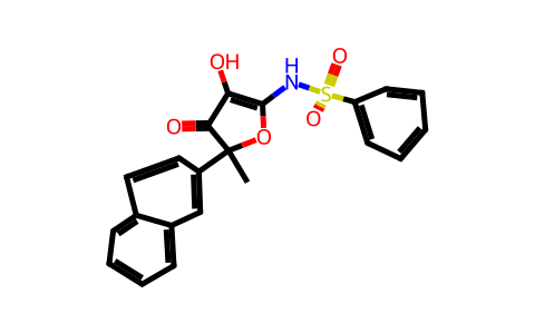 CC1(c2ccc3ccccc3c2)OC(NS(=O)(=O)c2ccccc2)=C(O)C1=O